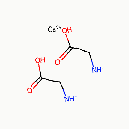 [Ca+2].[NH-]CC(=O)O.[NH-]CC(=O)O